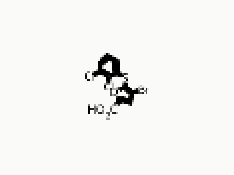 O=C(O)c1cc(Br)c(Sc2cccc(Cl)c2Cl)o1